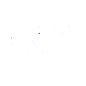 O=c1nc(NC2C[C@H]2F)c2ccc(C(F)(F)F)cc2n1-c1ccccc1